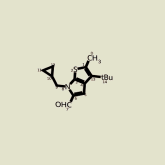 Cc1sc2c(cc(C=O)n2CC2CC2)c1C(C)(C)C